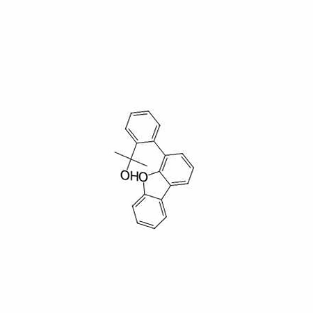 CC(C)(O)c1ccccc1-c1cccc2c1oc1ccccc12